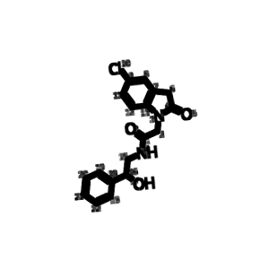 O=C(CN1C(=O)Cc2cc(Cl)ccc21)NCC(O)c1ccccc1